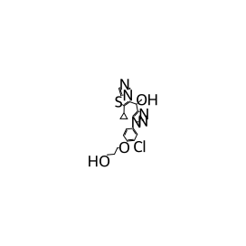 OCCCOc1ccc(-n2cc([C@H](O)c3c(C4CC4)sc4cncn34)nn2)cc1Cl